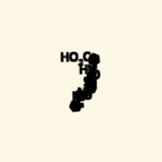 Cc1ccccc1-c1cc(Oc2ccc3nc(CC(=O)NCc4cccc(C(=O)O)c4)sc3c2)ncn1